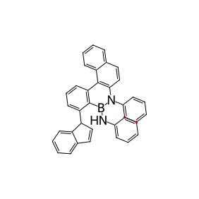 C1=CC(c2cccc3c2B(Nc2ccccc2)N(c2ccccc2)c2ccc4ccccc4c2-3)c2ccccc21